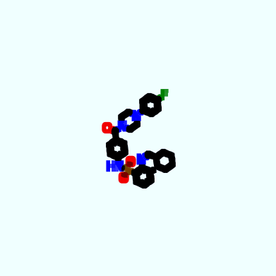 Cc1cccc(S(=O)(=O)Nc2ccc(C(=O)N3CCN(c4ccc(F)cc4)CC3)cc2)c1/N=C\C1CCCCC1